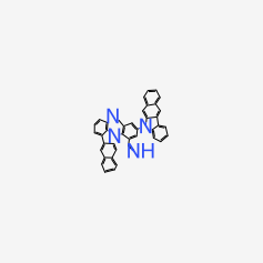 N#Cc1cc(-n2c3ccccc3c3cc4ccccc4cc32)cc(C=N)c1-n1c2ccccc2c2cc3ccccc3cc21